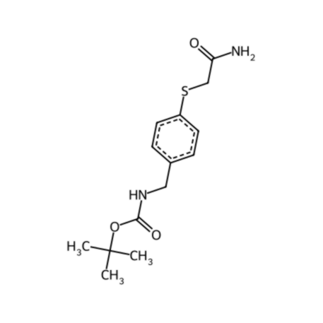 CC(C)(C)OC(=O)NCc1ccc(SCC(N)=O)cc1